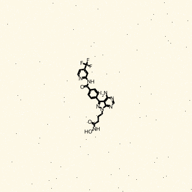 Nc1ncnc2c1c(-c1ccc(C(=O)Nc3cc(C(F)(F)F)ccn3)cc1)nn2CCCC(=O)NO